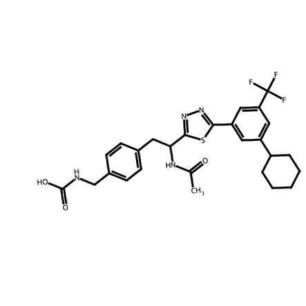 CC(=O)NC(Cc1ccc(CNC(=O)O)cc1)c1nnc(-c2cc(C3CCCCC3)cc(C(F)(F)F)c2)s1